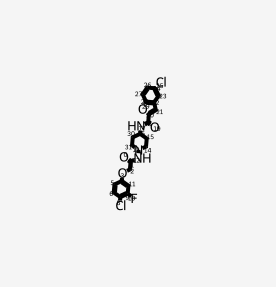 O=C(COc1ccc(Cl)c(F)c1)NN1CCC(NC(=O)c2cc3cc(Cl)ccc3o2)CC1